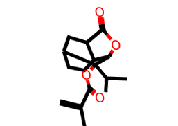 C=C(C)C(=O)OC1(C(C)C)C2CCC3C(C2)C(=O)OC31